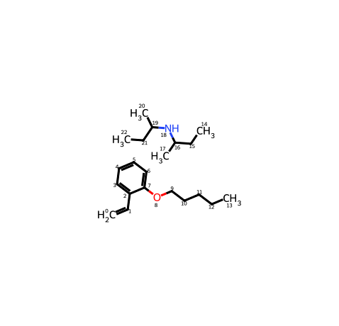 C=Cc1ccccc1OCCCCC.CCC(C)NC(C)CC